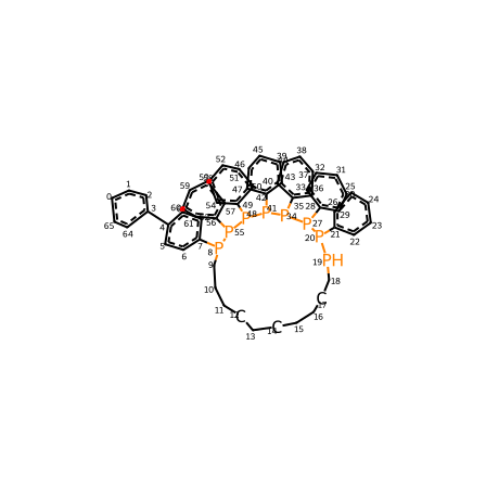 c1ccc(-c2ccc(P3CCCCCCCCCCPP(c4ccccc4)P(c4ccccc4)P(c4ccccc4)P(c4ccccc4)P(c4ccccc4)P3c3ccccc3)cc2)cc1